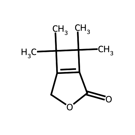 CC1(C)C2=C(C(=O)OC2)C1(C)C